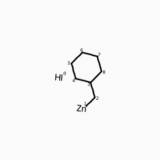 I.[Zn][CH2]C1CCCCC1